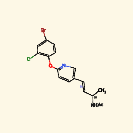 CC(=O)N[C@@H](C)/C=C/c1ccc(Oc2ccc(Br)cc2Cl)nc1